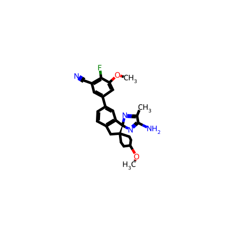 COc1cc(-c2ccc3c(c2)[C@@]2(N=C(C)C(N)=N2)C2(CCC(OC)CC2)C3)cc(C#N)c1F